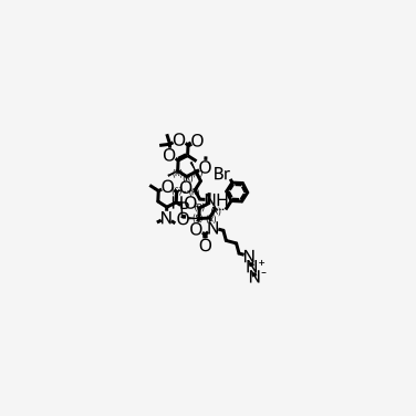 CC[C@@H](O)[C@@]1(C)OC(=O)N(CCCCN=[N+]=[N-])[C@@H]1[C@@H](Cc1cccc(Br)c1)NC[C@H](C)C[C@@](C)(OC)[C@H](O[C@@H]1OC(C)CC(N(C)C)C1P=O)[C@@H](C)C1=C(C)C(=O)OC(C)(C)O1